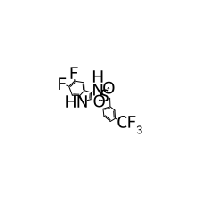 O=S(=O)(Cc1cccc(C(F)(F)F)c1)Nc1c[nH]c2cc(F)c(F)cc12